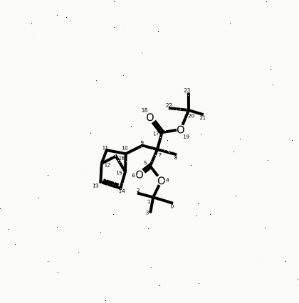 CC(C)(C)OC(=O)C(C)(CC1CC2C=CC1C2)C(=O)OC(C)(C)C